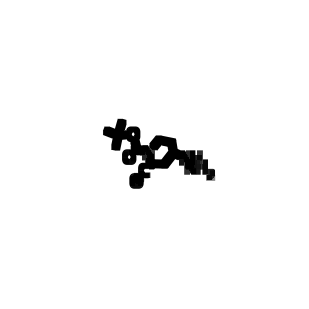 CC(C)(C)OC(=O)N1CCC(NN)CC1=C=O